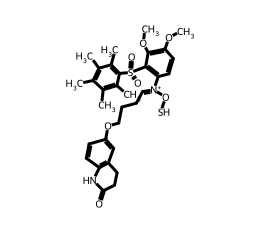 COc1ccc([N+](=CCCCOc2ccc3c(c2)CCC(=O)N3)OS)c(S(=O)(=O)c2c(C)c(C)c(C)c(C)c2C)c1OC